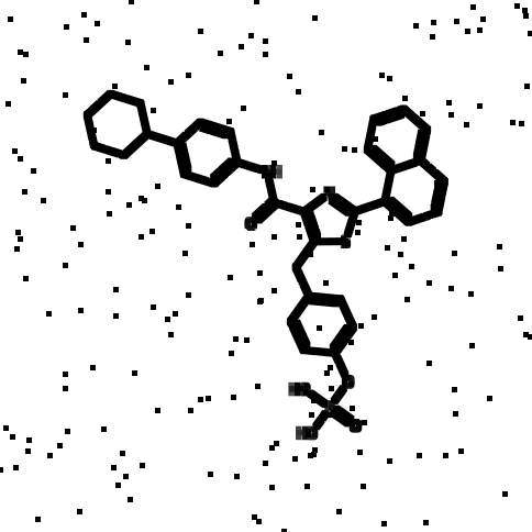 O=C(Nc1ccc(C2CCCCC2)cc1)c1nc(-c2cccc3ccccc23)sc1Cc1ccc(OP(=O)(O)O)cc1